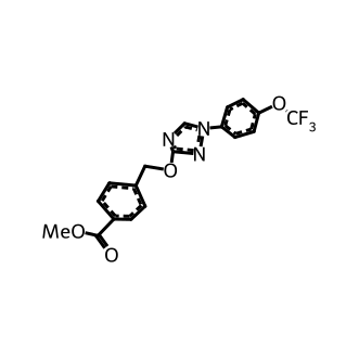 COC(=O)c1ccc(COc2ncn(-c3ccc(OC(F)(F)F)cc3)n2)cc1